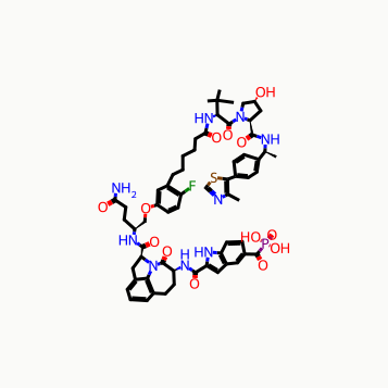 Cc1ncsc1-c1ccc([C@H](C)NC(=O)[C@@H]2C[C@@H](O)CN2C(=O)[C@@H](NC(=O)CCCCCc2cc(OC[C@H](CCC(N)=O)NC(=O)[C@@H]3Cc4cccc5c4N3C(=O)[C@@H](NC(=O)c3cc4cc(C(=O)P(=O)(O)O)ccc4[nH]3)CC5)ccc2F)C(C)(C)C)cc1